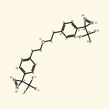 FC(F)(F)C1(c2ccc(CCOCCc3ccc(C4(C(F)(F)F)N=N4)cc3)cc2)N=N1